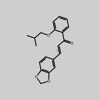 CC(C)COc1ccccc1C(=O)/C=C/c1ccc2c(c1)OCO2